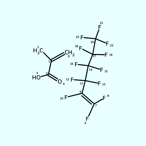 C=C(C)C(=O)O.FC(F)=C(F)C(F)(F)C(F)(F)C(F)(F)C(F)(F)F